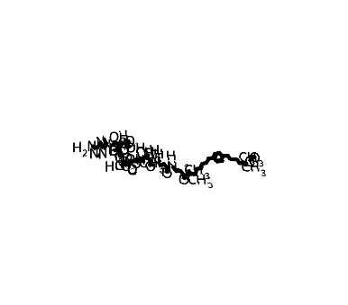 CC(C)(CCCCc1ccc(CCCCCCC(C)(C)C(=O)CCNC(=O)CCNC(=O)C(O)C(C)(C)COP(=O)(O)OP(=O)(O)OCC2OC(n3cnc4c(N)ncnc43)C(O)C2OP(=O)(O)O)cc1)OC=O